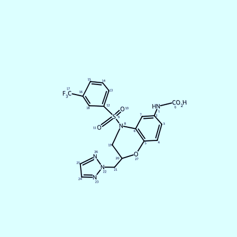 O=C(O)Nc1ccc2c(c1)N(S(=O)(=O)c1cccc(C(F)(F)F)c1)CC(Cn1nccn1)O2